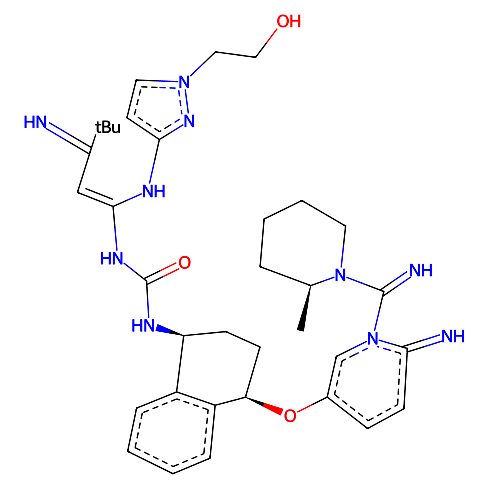 C[C@H]1CCCCN1C(=N)n1cc(O[C@@H]2CC[C@H](NC(=O)N/C(=C/C(=N)C(C)(C)C)Nc3ccn(CCO)n3)c3ccccc32)ccc1=N